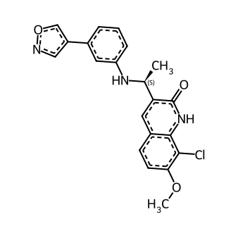 COc1ccc2cc([C@H](C)Nc3cccc(-c4cnoc4)c3)c(=O)[nH]c2c1Cl